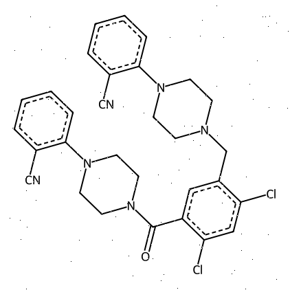 N#Cc1ccccc1N1CCN(Cc2cc(C(=O)N3CCN(c4ccccc4C#N)CC3)c(Cl)cc2Cl)CC1